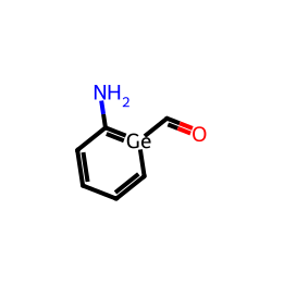 N[C]1=[Ge]([CH]=O)[CH]=CC=C1